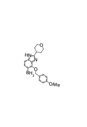 Bc1ccc2[nH]c(C3CCOCC3)nc2c1OCc1ccc(OC)cc1